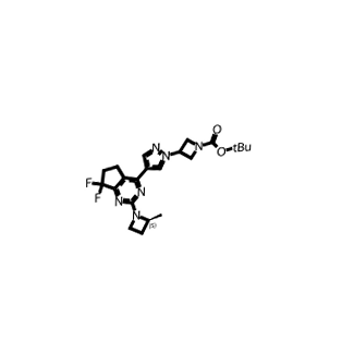 C[C@H]1CCN1c1nc(-c2cnn(C3CN(C(=O)OC(C)(C)C)C3)c2)c2c(n1)C(F)(F)CC2